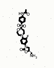 CC(=O)Nc1ccc(S(=O)(=O)N2CCN(c3ccc(N4C[C@H](CN)OC4=O)cc3F)CCO2)cc1